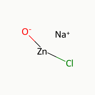 [Na+].[O-][Zn][Cl]